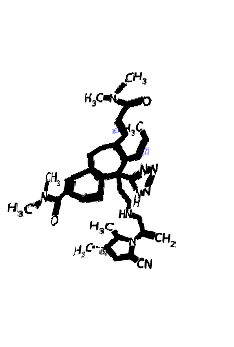 C=C(CNCCC1(c2nnn[nH]2)C(/C=C\C)=C(/C=C/C(=O)N(C)C)CCc2cc(C(=O)N(C)C)ccc21)N1C(C#N)C[C@H](C)C1C